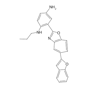 CCCNc1ccc(N)cc1-c1nc2cc(-c3cc4ccccc4o3)ccc2o1